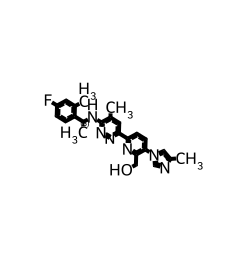 Cc1cn(-c2ccc(-c3cc(C)c(N[C@@H](C)c4ccc(F)cc4C)nn3)nc2CO)cn1